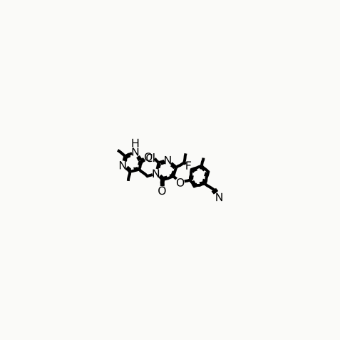 Cc1cc(C#N)cc(Oc2c(C(C)F)nc(Cl)n(Cc3c(C)nc(C)[nH]c3=O)c2=O)c1